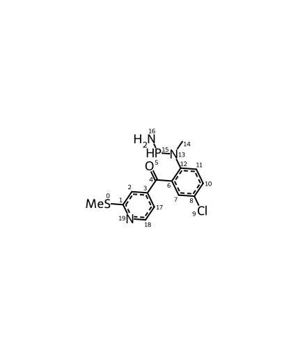 CSc1cc(C(=O)c2cc(Cl)ccc2N(C)PN)ccn1